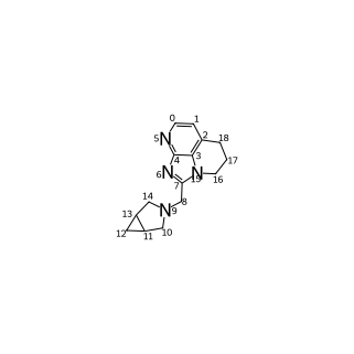 c1cc2c3c(n1)nc(CN1CC4CC4C1)n3CCC2